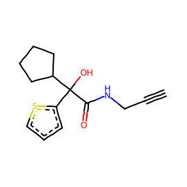 C#CCNC(=O)C(O)(c1cccs1)C1CCCC1